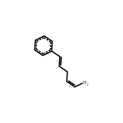 FC(F)(F)/C=C\C/C=C/c1ccccc1